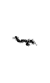 Cc1nc(Oc2ccc(OC(=O)NC(C)C)cc2)ccc1CN1CCC(N(C(=O)Nc2cc(C(N)=O)c(F)cc2F)c2cccc(F)c2)CC1